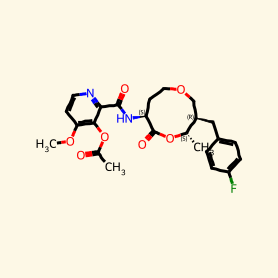 COc1ccnc(C(=O)N[C@H]2CCOC[C@@H](Cc3ccc(F)cc3)[C@H](C)OC2=O)c1OC(C)=O